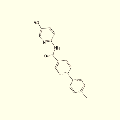 Cc1ccc(-c2ccc(C(=O)Nc3ccc(O)cn3)cc2)cc1